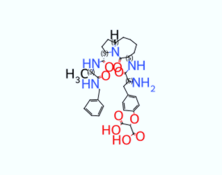 C[C@H](NC(=O)[C@@H]1CC[C@@H]2CCCC[C@H](NC(=O)[C@@H](N)Cc3ccc(OC(C(=O)O)C(=O)O)cc3)C(=O)N21)C(=O)NCc1ccccc1